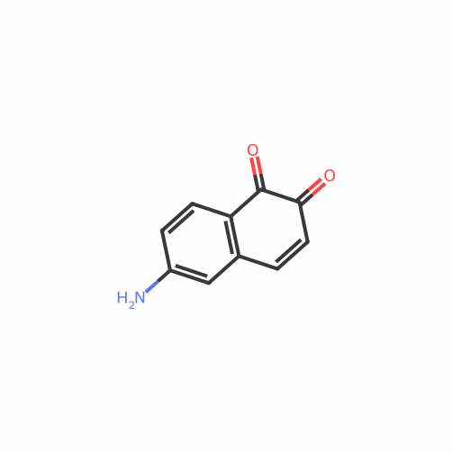 Nc1ccc2c(c1)C=CC(=O)C2=O